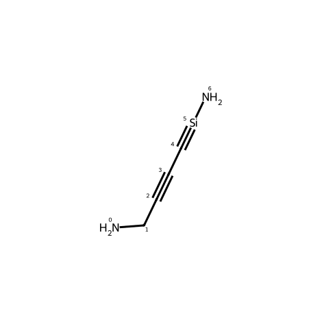 NCC#CC#[Si]N